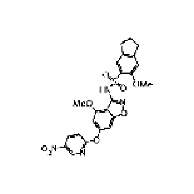 COc1cc2c(cc1S(=O)(=O)Nc1noc3cc(Oc4ccc([N+](=O)[O-])cn4)cc(OC)c13)CCC2